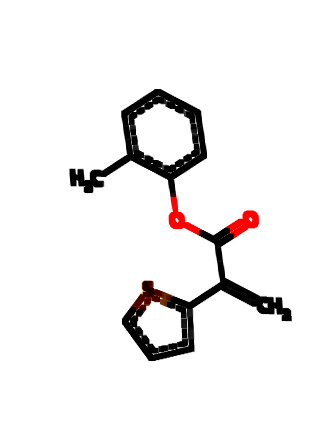 C=C(C(=O)Oc1ccccc1C)c1cccs1